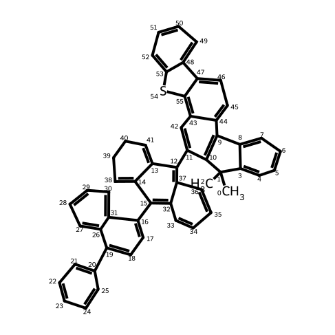 CC1(C)c2ccccc2-c2c1c(-c1c3c(c(-c4ccc(-c5ccccc5)c5ccccc45)c4ccccc14)=CCCC=3)cc1c2ccc2c3ccccc3sc12